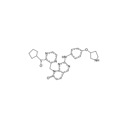 O=c1ccc2cnc(Nc3ccc(OC4CCNC4)cc3)nc2n1Cc1nccnc1[S+]([O-])C1CCCC1